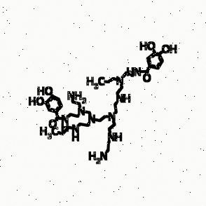 CCCNCCN(CCN(CCNCCN)CCNCCN(CCC)CCNC(=O)c1ccc(O)c(O)c1)CN(CCN)CCNC(=O)c1ccc(O)c(O)c1